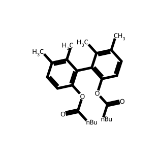 CCCCC(=O)Oc1ccc(C)c(C)c1-c1c(OC(=O)CCCC)ccc(C)c1C